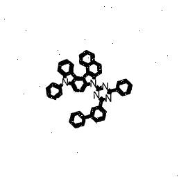 c1ccc(-c2cccc(-c3nc(-c4ccccc4)nc(-n4c5ccc6ccccc6c5c5c6c7ccccc7n(-c7ccccc7)c6ccc54)n3)c2)cc1